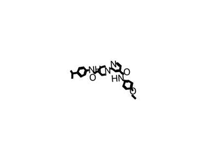 CCOc1ccc(NC(=O)c2ccnc(N3CCC(C(=O)Nc4ccc(C(C)C)cc4)CC3)c2)cc1